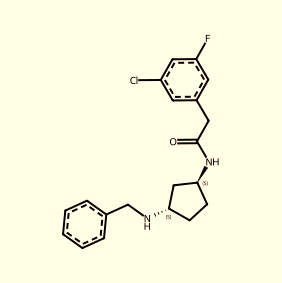 O=C(Cc1cc(F)cc(Cl)c1)N[C@H]1CC[C@H](NCc2ccccc2)C1